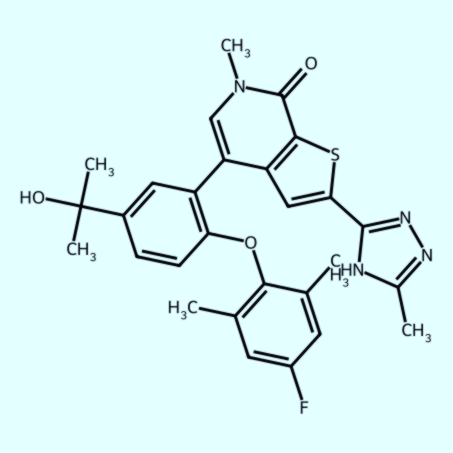 Cc1nnc(-c2cc3c(-c4cc(C(C)(C)O)ccc4Oc4c(C)cc(F)cc4C)cn(C)c(=O)c3s2)[nH]1